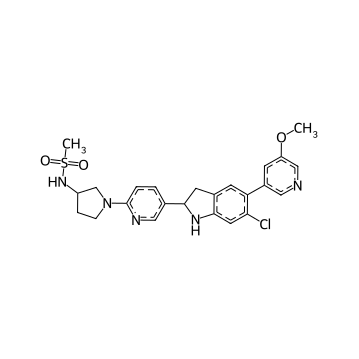 COc1cncc(-c2cc3c(cc2Cl)NC(c2ccc(N4CCC(NS(C)(=O)=O)C4)nc2)C3)c1